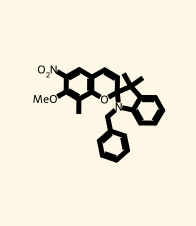 COc1c([N+](=O)[O-])cc2c(c1C)OC1(C=C2)N(Cc2ccccc2)c2ccccc2C1(C)C